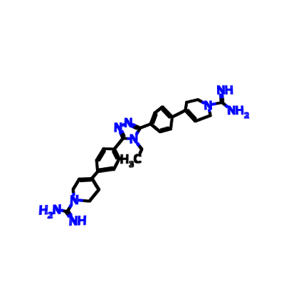 CCn1c(-c2ccc(C3=CCN(C(=N)N)CC3)cc2)nnc1-c1ccc(C2=CCN(C(=N)N)CC2)cc1